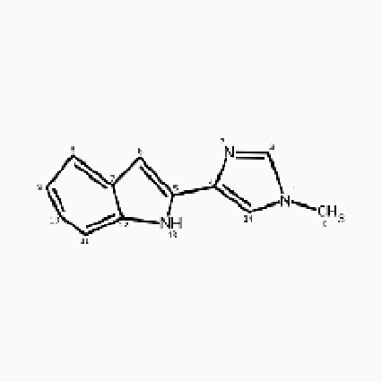 Cn1cnc(-c2cc3ccccc3[nH]2)c1